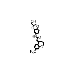 O=C(C=C1CCCOc2cc(C(F)(F)F)ccc21)Nc1ccc2c(c1)OC(CO)CO2